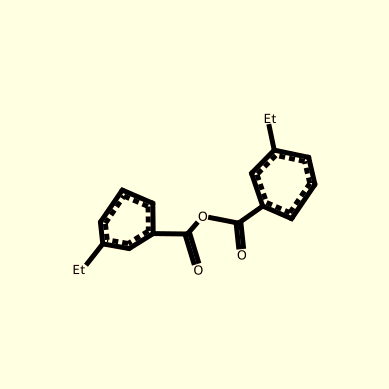 CCc1cccc(C(=O)OC(=O)c2cccc(CC)c2)c1